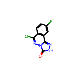 O=c1[nH]nc2c3cc(F)ccc3c(Cl)nn12